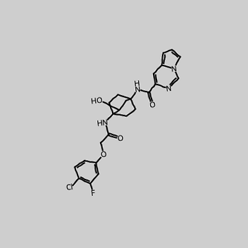 O=C(COc1ccc(Cl)c(F)c1)NC12CCC(NC(=O)c3cc4cccn4cn3)(CC1)CC2O